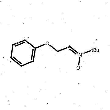 CC(C)(C)[N+]([O-])=CCOc1ccccc1